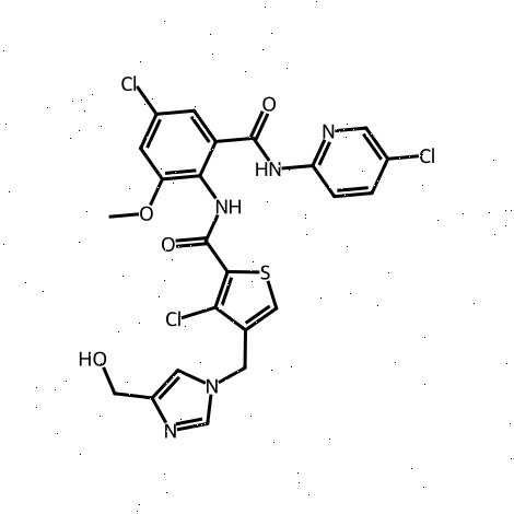 COc1cc(Cl)cc(C(=O)Nc2ccc(Cl)cn2)c1NC(=O)c1scc(Cn2cnc(CO)c2)c1Cl